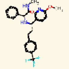 CNC(=O)[C@H](N[C@@H](CCc1ccc(C(F)(F)F)cc1)c1ccc(OC)nc1)c1ccccc1